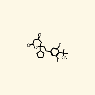 CC(C)(C#N)c1c(F)cc(CCC2(C3CCCC3)CC(=O)CC(=O)O2)cc1F